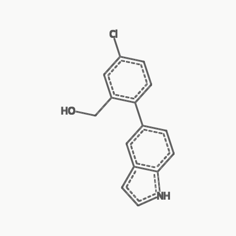 OCc1cc(Cl)ccc1-c1ccc2[nH]ccc2c1